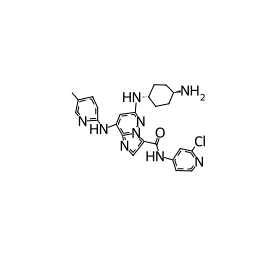 Cc1ccc(Nc2cc(N[C@H]3CC[C@H](N)CC3)nn3c(C(=O)Nc4ccnc(Cl)c4)cnc23)nc1